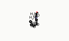 CC(C)[C@H](N)C(=O)O/N=C(\N)c1ccc(CNC(=O)[C@H](C)NC(=O)[C@H]2C[C@@H](c3ccccc3)CCN2)cc1